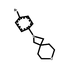 Brc1ccc(N2CC3(CCOCC3)C2)cc1